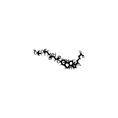 COC(C)(C)COC(C)(C)CCNC(=O)CCC(=O)O[C@H]1CC[C@@]2(C)C(=CC[C@H]3[C@@H]4CC[C@H]([C@H](C)CCCC(C)C)[C@@]4(C)CC[C@@H]32)C1